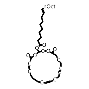 CCCCCCCC/C=C/CCCCCCCC(=O)OC1COC(=O)CCCCCCC/C=C\CCCCCCCC(=O)O1